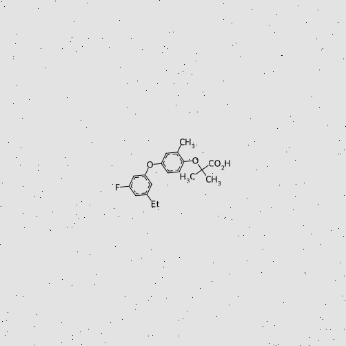 CCc1cc(F)cc(Oc2ccc(OC(C)(C)C(=O)O)c(C)c2)c1